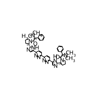 CN(C)[C@@H](C(=O)N1CCC[C@H]1c1ncc(-c2ccc(-c3ccc(-c4cnc([C@@H]5CCCN5C(=O)[C@@H](c5ccccc5)N(C)C)[nH]4)nn3)nn2)[nH]1)c1ccccc1